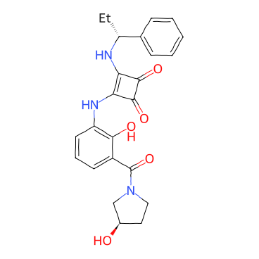 CC[C@@H](Nc1c(Nc2cccc(C(=O)N3CC[C@@H](O)C3)c2O)c(=O)c1=O)c1ccccc1